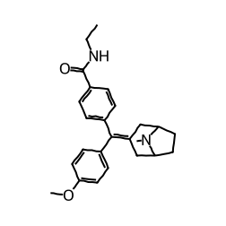 CCNC(=O)c1ccc(C(=C2CC3CCC(C2)N3C)c2ccc(OC)cc2)cc1